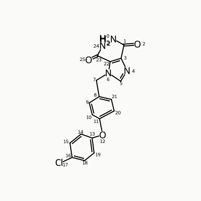 NC(=O)c1ncn(Cc2ccc(Oc3ccc(Cl)cc3)cc2)c1C(N)=O